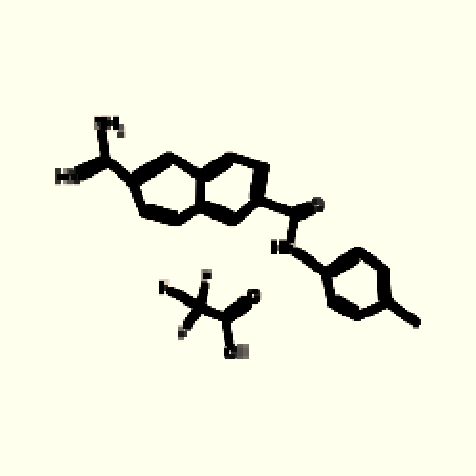 Cc1ccc(NC(=O)c2ccc3cc(C(=N)N)ccc3c2)cc1.O=C(O)C(F)(F)F